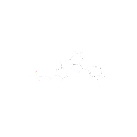 CS(=O)(=O)NC(=O)c1cc(Cl)c(-n2nc(-c3cc(F)c(F)c(F)c3)c3cc(Cl)ccc32)cc1F